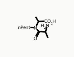 CCCCCN(C(=O)C(C)N)C(C)C(=O)O